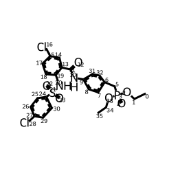 CCOP(=O)(Cc1ccc(NC(=O)c2cc(Cl)ccc2NS(=O)(=O)c2ccc(Cl)cc2)cc1)OCC